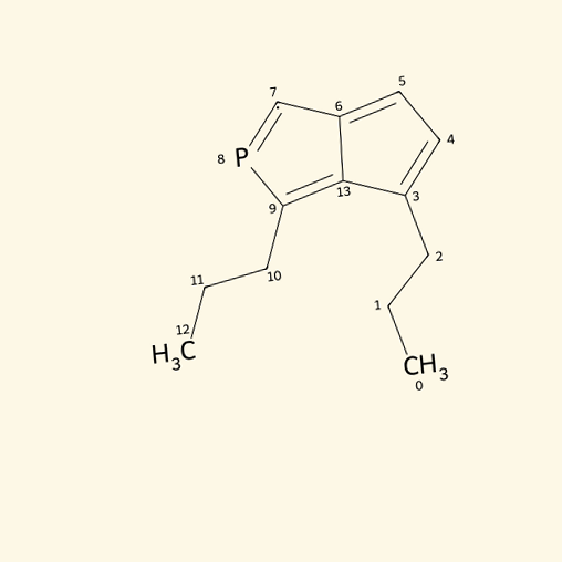 CCCC1=CC=C2[C]=PC(CCC)=C21